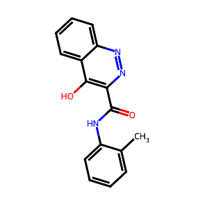 Cc1ccccc1NC(=O)c1nnc2ccccc2c1O